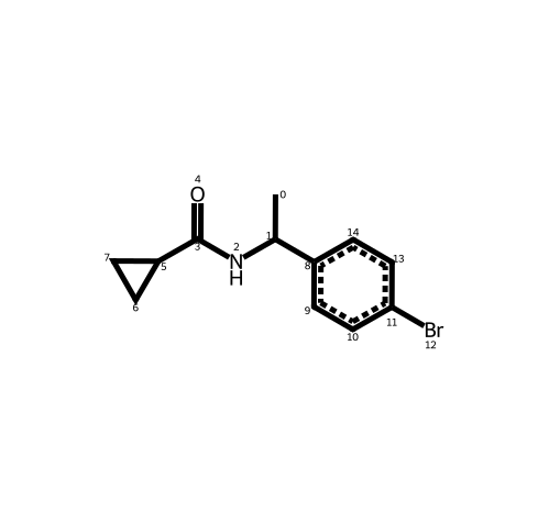 CC(NC(=O)C1CC1)c1ccc(Br)cc1